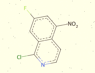 O=[N+]([O-])c1cc(F)cc2c(Cl)nccc12